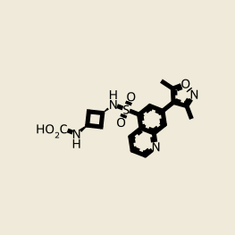 Cc1noc(C)c1-c1cc(S(=O)(=O)N[C@H]2C[C@H](NC(=O)O)C2)c2cccnc2c1